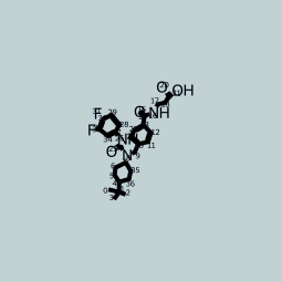 CC(C)(C)C1CCC(N(Cc2ccc(C(=O)NCCC(=O)O)cc2)C(=O)Nc2ccc(F)c(F)c2)CC1